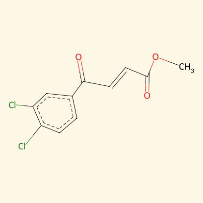 COC(=O)C=CC(=O)c1ccc(Cl)c(Cl)c1